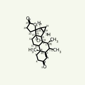 CC1C2=CC(=O)CC[C@]2(C)C2CC[C@@]3(C)C(C2[C@H]1C)[C@@H]1C[C@@H]1C31CCC(=O)O1